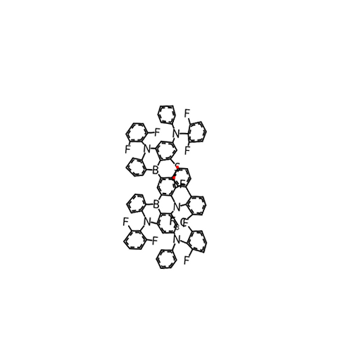 Fc1cccc(F)c1N(c1ccccc1)c1cc2c3c(c1)N(c1c(F)cccc1F)c1ccccc1B3c1cc3c(c(F)c1S2)N(c1c(-c2ccccc2)cccc1C(F)(F)F)c1cc(N(c2ccccc2)c2c(F)cccc2F)cc2c1B3c1ccccc1N2c1c(F)cccc1F